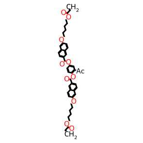 C=CC(=O)OCCCCCCOc1ccc2cc(C(=O)Oc3ccc(OC(=O)c4ccc5cc(OCCCCCCOC(=O)C=C)ccc5c4)c(C(C)=O)c3)ccc2c1